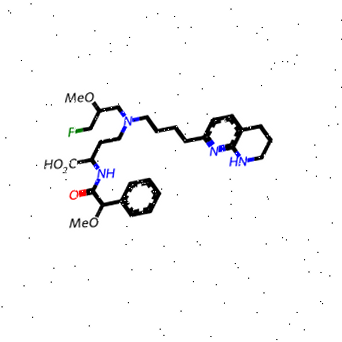 COC(CF)CN(CCCCc1ccc2c(n1)NCCC2)CCC(NC(=O)C(OC)c1ccccc1)C(=O)O